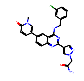 Cn1cc(-c2ccc3nc(-c4cnn(CC(N)=O)c4)nc(NCc4cccc(Cl)c4)c3c2)ccc1=O